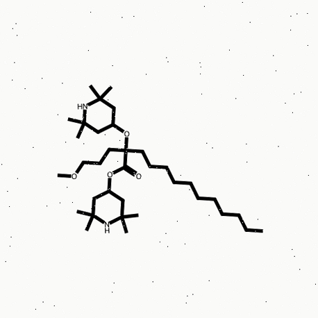 CCCCCCCCCCCC(CCCOC)(OC1CC(C)(C)NC(C)(C)C1)C(=O)OC1CC(C)(C)NC(C)(C)C1